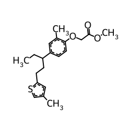 CCC(CCc1cc(C)cs1)c1ccc(OCC(=O)OC)c(C)c1